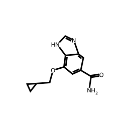 NC(=O)c1cc(OCC2CC2)c2[nH]cnc2c1